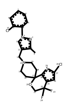 Cc1nn(-c2ccccc2Cl)cc1CN1CCC2(CC1)OCC(F)(F)c1cc(Cl)sc12